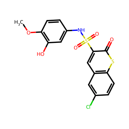 COc1ccc(NS(=O)(=O)c2cc3cc(Cl)ccc3sc2=O)cc1O